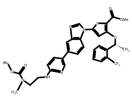 COC(=O)c1sc(-n2cnc3cc(-c4ccc(NCCN(C)C(=O)OC(C)(C)C)nc4)ccc32)cc1O[C@H](C)c1ccccc1C(F)(F)F